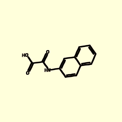 O=C(O)C(=O)Nc1ccc2ccccc2c1